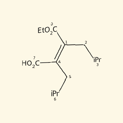 CCOC(=O)/C(CC(C)C)=C(/CC(C)C)C(=O)O